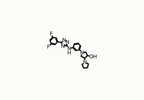 OC1CN(c2cccc(NC3=NC(c4cc(F)cc(F)c4)N=N3)c2)CC1N1CCCC1